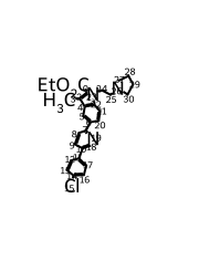 CCOC(=O)c1c(C)c2cc(-c3ccc(-c4ccc(Cl)cc4)cn3)ccc2n1CCN1CCCC1